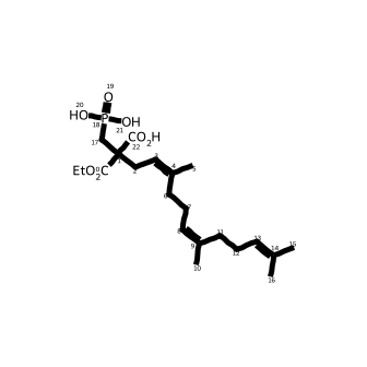 CCOC(=O)C(CC=C(C)CCC=C(C)CCC=C(C)C)(CP(=O)(O)O)C(=O)O